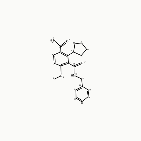 COc1ccc(C(N)=O)c(C2CCCC2)c1C(=O)NCc1ccccc1